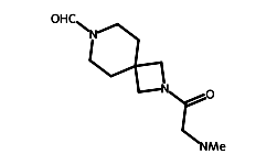 CNCC(=O)N1CC2(CCN(C=O)CC2)C1